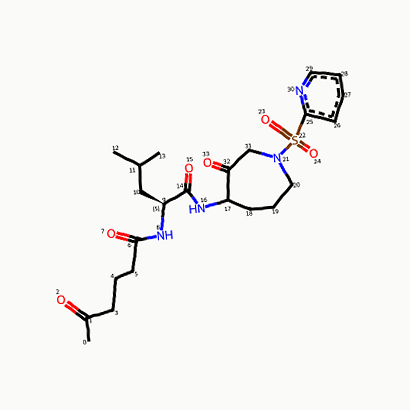 CC(=O)CCCC(=O)N[C@@H](CC(C)C)C(=O)NC1CCCN(S(=O)(=O)c2ccccn2)CC1=O